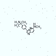 CNc1ccc2ncc(-c3ccc(C(C)(C)N)cc3)n2n1